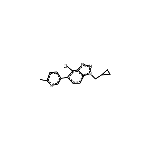 Cc1ccc(-c2ccc3c(nnn3CC3CC3)c2Cl)cn1